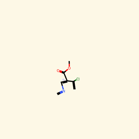 C=N/C=C(\C(=C)Cl)C(=O)OC